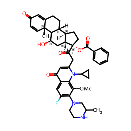 COc1c(N2CCNC(C)C2)c(F)cc2c(=O)cc(CC(=O)[C@]3(OC(=O)c4ccccc4)CC[C@@H]4[C@H]5CCC6=CC(=O)C=C[C@@]6(C)C5[C@H](O)C[C@]43C)n(C3CC3)c12